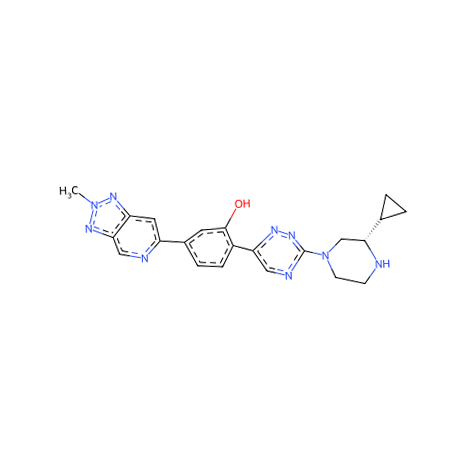 Cn1nc2cnc(-c3ccc(-c4cnc(N5CCN[C@@H](C6CC6)C5)nn4)c(O)c3)cc2n1